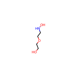 OCCOCCNO